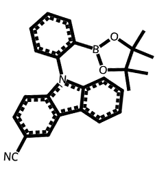 CC1(C)OB(c2ccccc2-n2c3ccccc3c3cc(C#N)ccc32)OC1(C)C